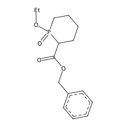 CCOP1(=O)CCCCC1C(=O)OCc1ccccc1